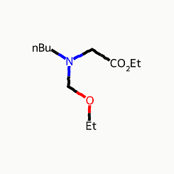 CCCCN(COCC)CC(=O)OCC